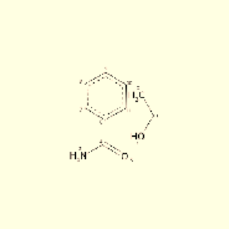 CCO.NC(=O)c1ccccc1